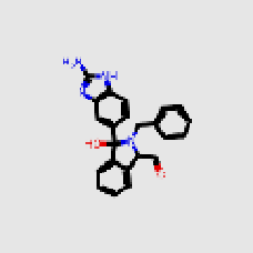 Nc1nc2cc(C3(O)c4ccccc4C(C=O)N3Cc3ccccc3)ccc2[nH]1